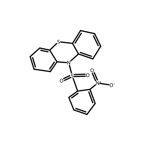 O=[N+]([O-])c1ccccc1S(=O)(=O)N1c2ccccc2Sc2ccccc21